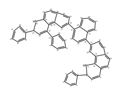 C1=CC(c2ccccc2)Nc2c1ccc1ccc(-c3ccc(-c4ccc5ccc6c(c5c4)C(c4ccccc4)=CC(c4ccccc4)N6)c4ccccc34)nc21